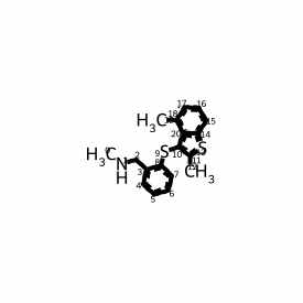 CNCc1ccccc1Sc1c(C)sc2cc[c]c(C)c12